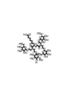 O=C(O)CCCCC(=O)N[C@@H](CCC(=O)N(CCO[C@H]1O[C@H](CO)[C@@H](O)[C@H](O)[C@@H]1O)CCO[C@H]1O[C@H](CO)[C@@H](O)[C@H](O)[C@@H]1O)C(=O)N(CCO[C@H]1O[C@H](CO)[C@@H](O)[C@H](O)[C@@H]1O)CCO[C@H]1O[C@H](CO)[C@@H](O)[C@H](O)[C@@H]1O